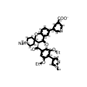 CCOc1cc(C(=O)[C@@H]2C(=O)c3cc(-c4cncc(C(=O)[O-])c4)ccc3OC23CCNCC3)cc(OCC)c1-c1cnn(C)c1.[Na+]